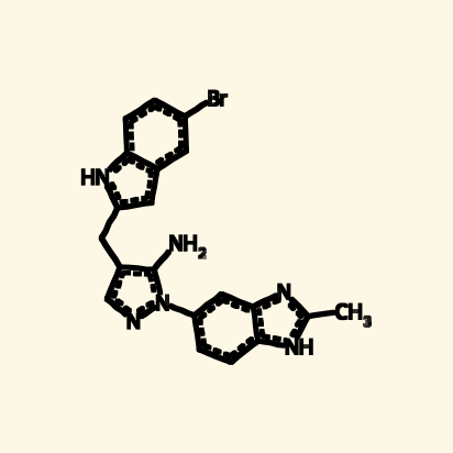 Cc1nc2cc(-n3ncc(Cc4cc5cc(Br)ccc5[nH]4)c3N)ccc2[nH]1